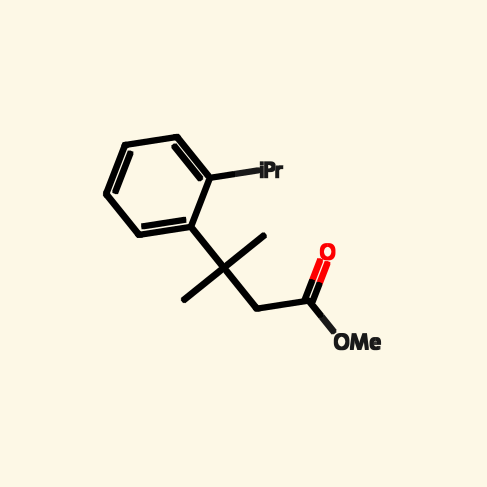 COC(=O)CC(C)(C)c1ccccc1C(C)C